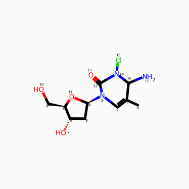 CC1=CN([C@H]2C[C@H](O)[C@@H](CO)O2)C(=O)N(Cl)C1N